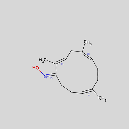 C/C1=C/CC/C(C)=C\CCC(=N/O)/C(C)=C/C1